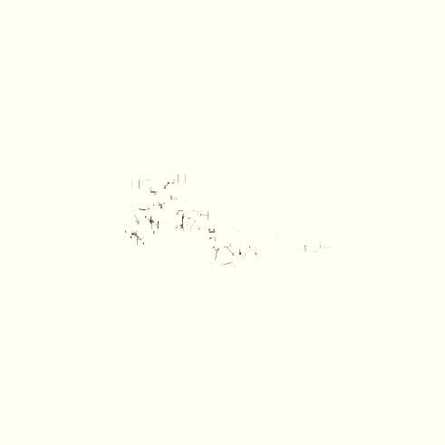 CCCCCCCCCCCCCCCCCCCC[C@H](COP(=O)(O)OC[C@@]1(C)O[C@@H](c2ccc3c(N)ncnn23)[C@H](O)[C@@H]1O)Oc1cccc(C#N)c1